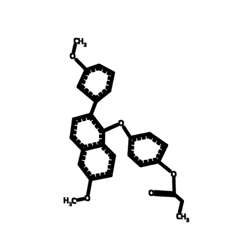 CCC(=O)Oc1ccc(Oc2c(-c3cccc(OC)c3)ccc3cc(OC)ccc23)cc1